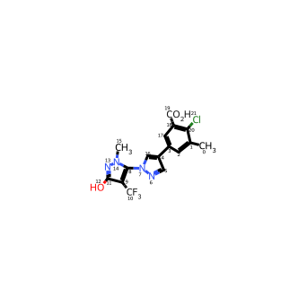 Cc1cc(-c2cnn(-c3c(C(F)(F)F)c(O)nn3C)c2)cc(C(=O)O)c1Cl